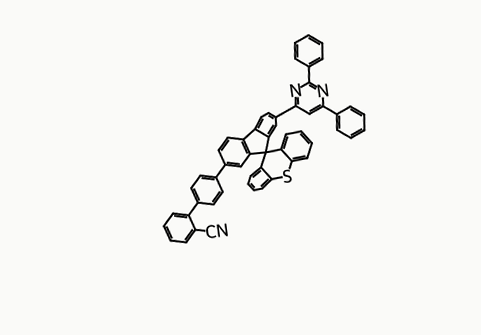 N#Cc1ccccc1-c1ccc(-c2ccc3c(c2)C2(c4ccccc4Sc4ccccc42)c2cc(-c4cc(-c5ccccc5)nc(-c5ccccc5)n4)ccc2-3)cc1